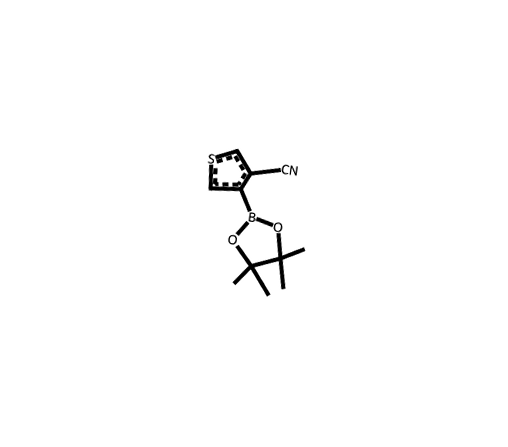 CC1(C)OB(c2cscc2C#N)OC1(C)C